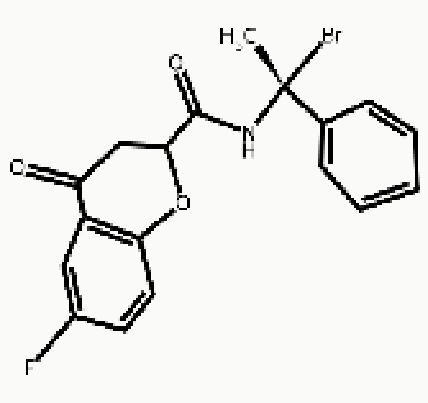 C[C@](Br)(NC(=O)C1CC(=O)c2cc(F)ccc2O1)c1ccccc1